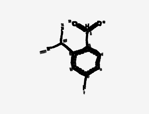 O=[SH](=O)c1ccc(F)cc1C(F)F